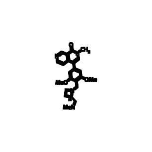 CNC[C@H]1CCN1Cc1c(OC)cc(-c2cn(C)c(=O)c3cnccc23)cc1OC